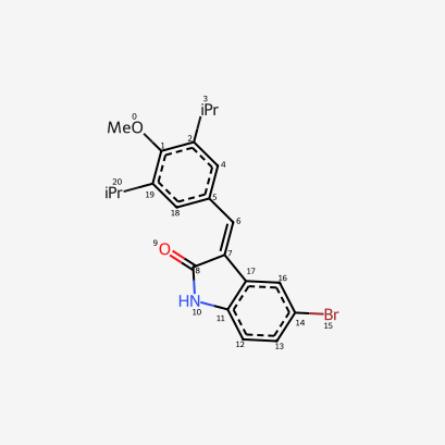 COc1c(C(C)C)cc(C=C2C(=O)Nc3ccc(Br)cc32)cc1C(C)C